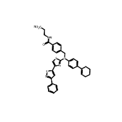 O=C(O)CCNC(=O)c1ccc(CN(c2ccc(C3=CCCCC3)cc2)c2nc(-c3cc(-c4ccccc4)no3)cs2)cc1